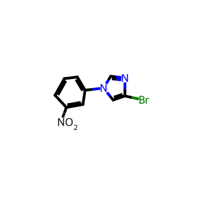 O=[N+]([O-])c1cccc(-n2cnc(Br)c2)c1